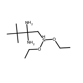 CCO[SiH](CC(N)(N)C(C)(C)C)OCC